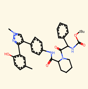 Cc1ccc(O)c(-c2nn(C)cc2-c2ccc(NC(=O)C3CCCCN3C(=O)C(NC(=O)OC(C)(C)C)c3ccccc3)cc2)c1